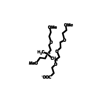 COCCOCCOCCOCCC(=O)[O-].COCCOCC[N+](C)(C)CCOC